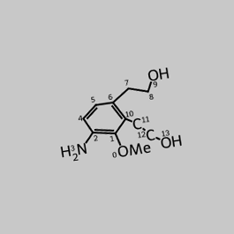 COc1c(N)ccc(CCO)c1CCO